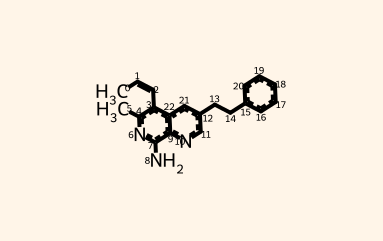 C/C=C\c1c(C)nc(N)c2ncc(CCc3ccccc3)cc12